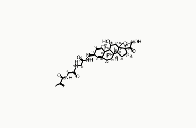 C=C(C)C(=O)NCC(=O)NCC(=O)N/N=C1/C=C[C@@]2(C)C(=C1)CC[C@H]1[C@@H]3C[C@@H](C)[C@](O)(C(=O)CO)[C@@]3(C)C[C@H](O)[C@@]12F